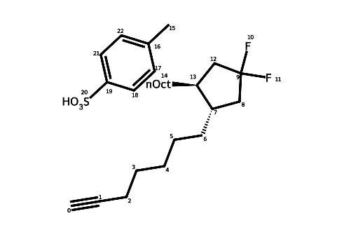 C#CCCCCC[C@H]1CC(F)(F)C[C@@H]1CCCCCCCC.Cc1ccc(S(=O)(=O)O)cc1